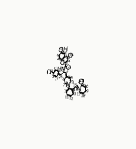 O=C(N[C@@H](C=C1CCN(c2ccccc2CN2CCCCC2=O)CC1)Cc1ccc(Cl)cc1)c1cc(=O)c2cc(O)ccc2o1